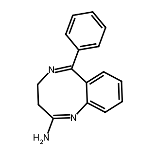 NC1=Nc2ccccc2C(c2ccccc2)=NCC1